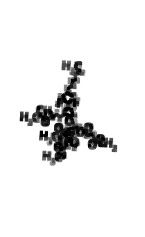 C=C(C)C(=O)OCCCc1cc(-c2c(F)cc(CCCCCCC)cc2F)ccc1OCC(COC(=O)/C=C/C(=O)OC)(COC(=O)/C=C/C(=O)OC)COC(=O)C(=C)C